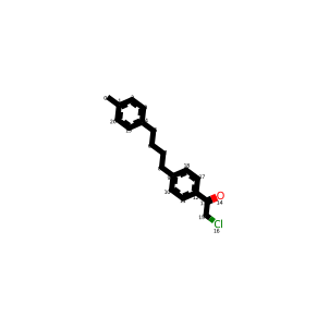 Cc1ccc(CCCCc2ccc(C(=O)CCl)cc2)cc1